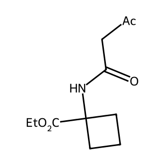 CCOC(=O)C1(NC(=O)CC(C)=O)CCC1